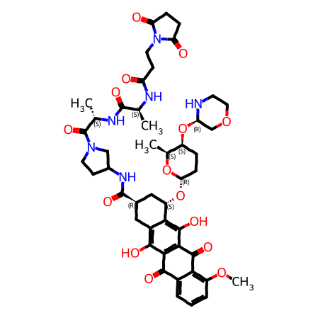 COc1cccc2c1C(=O)c1c(O)c3c(c(O)c1C2=O)C[C@@H](C(=O)NC1CCN(C(=O)[C@H](C)NC(=O)[C@H](C)NC(=O)CCN2C(=O)CCC2=O)C1)C[C@@H]3O[C@H]1CC[C@H](O[C@@H]2COCCN2)[C@H](C)O1